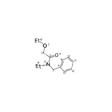 [CH2]COCC(=O)N(CC)Cc1ccccc1